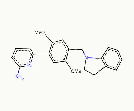 COc1cc(-c2cccc(N)n2)c(OC)cc1CN1CCc2ccccc21